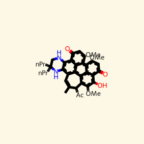 CCCC1(CCC)CNc2c(c3c4c5c(c(OC)c(O)c6c(=O)cc(OC)c(c7c(OC)cc(=O)c2c74)c65)C(C(C)=O)C(C)=C3)N1